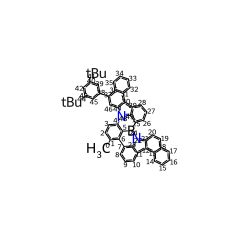 Cc1ccc2c3c1-c1cccc4c5c6ccccc6ccc5n(c14)B3c1cccc3c4c5ccccc5c(-c5cc(C(C)(C)C)cc(C(C)(C)C)c5)cc4n-2c13